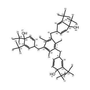 Cc1c(CC2C=CC(O)(C(C)(C)C)C(C(C)(C)C)=C2)c(C)c(CC2C=CC(O)(C(C)(C)C)C(C(C)(C)C)=C2)c(C)c1CC1C=CC(O)(C(C)(C)C)C(C(C)(C)C)=C1